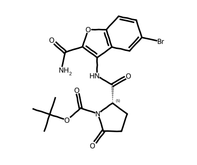 CC(C)(C)OC(=O)N1C(=O)CC[C@H]1C(=O)Nc1c(C(N)=O)oc2ccc(Br)cc12